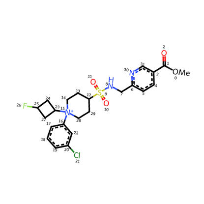 COC(=O)c1ccc(CNS(=O)(=O)C2CC[N+](c3cccc(Cl)c3)(C3CC(F)C3)CC2)nc1